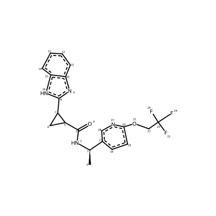 C[C@@H](NC(=O)C1CC1c1nc2ccccc2[nH]1)c1ccc(OCC(F)(F)F)nc1